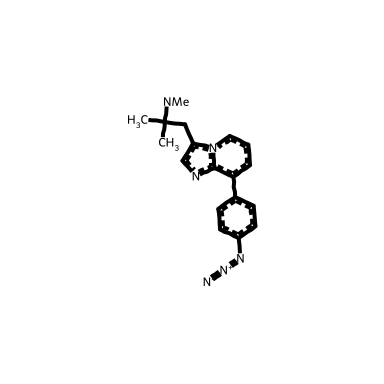 CNC(C)(C)Cc1cnc2c(-c3ccc(N=[N+]=[N-])cc3)cccn12